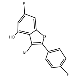 Oc1cc(F)cc2oc(-c3ccc(F)cc3)c(Br)c12